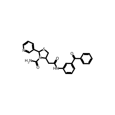 NC(=O)N1C(CC(=O)Nc2cccc(C(=O)c3ccccc3)c2)CSC1c1cccnc1